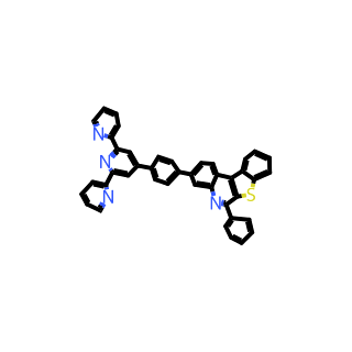 c1ccc(-c2nc3cc(-c4ccc(-c5cc(-c6ccccn6)nc(-c6ccccn6)c5)cc4)ccc3c3c2sc2ccccc23)cc1